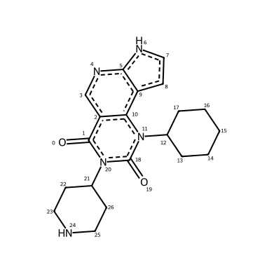 O=c1c2cnc3[nH]ccc3c2n(C2CCCCC2)c(=O)n1C1CCNCC1